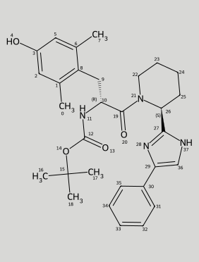 Cc1cc(O)cc(C)c1C[C@@H](NC(=O)OC(C)(C)C)C(=O)N1CCCC[C@H]1c1nc(-c2ccccc2)c[nH]1